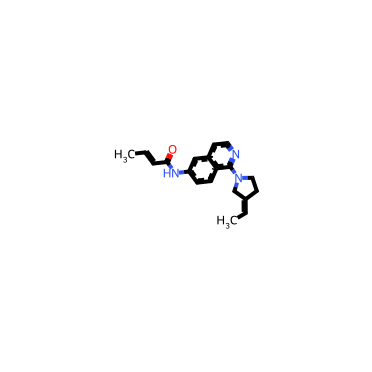 C/C=C1/CCN(c2nccc3cc(NC(=O)/C=C/C)ccc23)C1